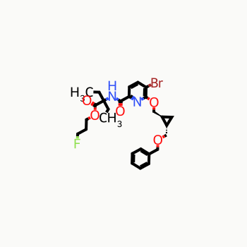 CCC(CC)(NC(=O)c1ccc(Br)c(OC[C@H]2C[C@@H]2COCc2ccccc2)n1)C(=O)OCCCF